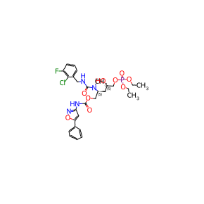 CCOP(=O)(OCC)OC[C@@H](O)C[C@@H](COC(=O)Nc1cc(-c2ccccc2)on1)N(C)C(=O)NCc1cccc(F)c1Cl